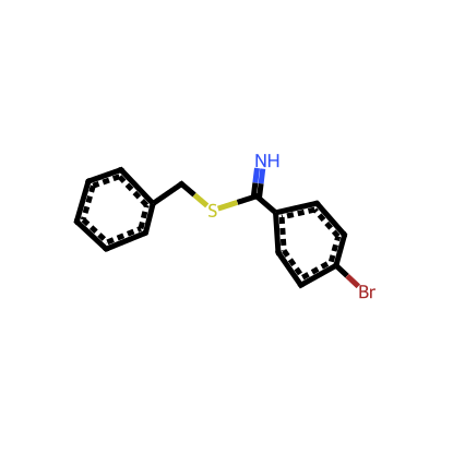 N=C(SCc1ccccc1)c1ccc(Br)cc1